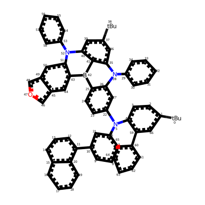 CC(C)(C)c1ccc(N(c2cccc(-c3cccc4ccccc34)c2)c2ccc3c(c2)N(c2ccccc2)c2cc(C(C)(C)C)cc4c2B3c2cc3cocc3cc2N4c2ccccc2)c(-c2ccccc2)c1